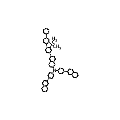 CC1(C)c2cc(-c3ccccc3)ccc2-c2ccc(-c3ccc4cc(N(c5ccc(-c6ccc7ccccc7c6)cc5)c5ccc(-c6ccc7ccccc7c6)cc5)ccc4c3)cc21